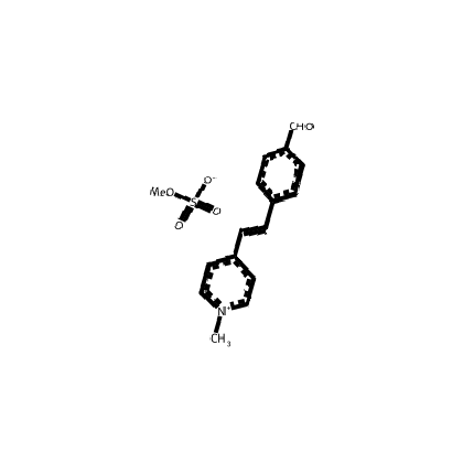 COS(=O)(=O)[O-].C[n+]1ccc(C=Cc2ccc(C=O)cc2)cc1